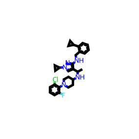 CC(NC1CCN(c2c(F)cccc2Cl)CC1)c1cn(C2CC2)nc1NCc1ccccc1C1CC1